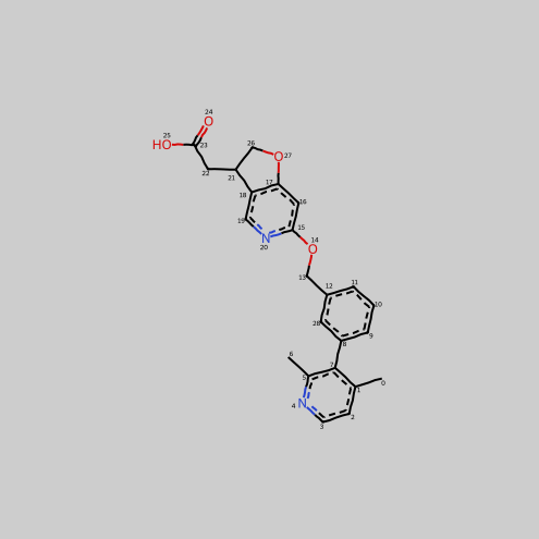 Cc1ccnc(C)c1-c1cccc(COc2cc3c(cn2)C(CC(=O)O)CO3)c1